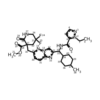 CCn1nccc1C(=O)N[C@H](c1cn2nc(CC3(C(=O)OC)CC(F)(F)CNC3=O)ccc2n1)C1CCC(C)CC1